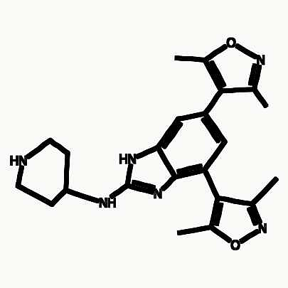 Cc1noc(C)c1-c1cc(-c2c(C)noc2C)c2nc(NC3CCNCC3)[nH]c2c1